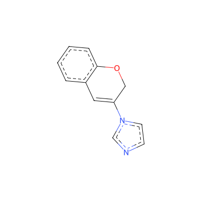 C1=C(n2ccnc2)COc2ccccc21